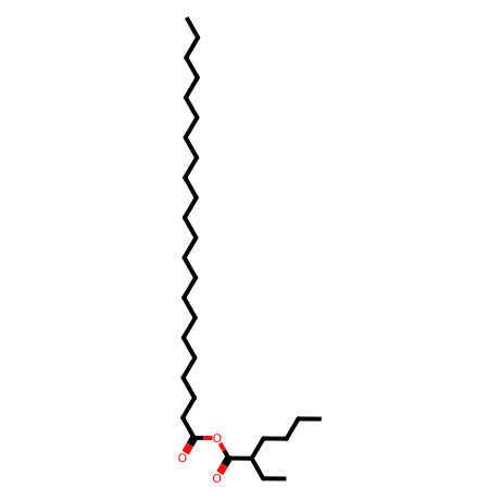 CCCCCCCCCCCCCCCCCCCCCC(=O)OC(=O)C(CC)CCCC